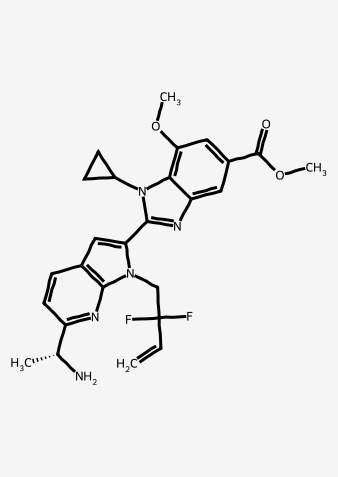 C=CC(F)(F)Cn1c(-c2nc3cc(C(=O)OC)cc(OC)c3n2C2CC2)cc2ccc([C@@H](C)N)nc21